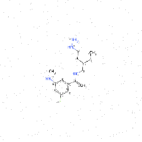 C=C(NCC(CC)CCNN)c1cc(F)cc(NC)c1